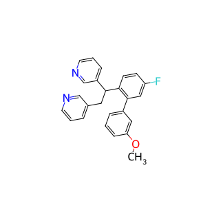 COc1cccc(-c2cc(F)ccc2C(Cc2cccnc2)c2cccnc2)c1